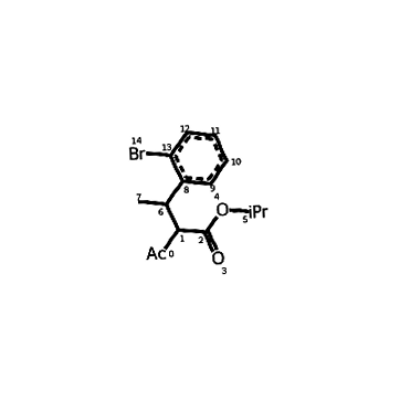 CC(=O)C(C(=O)OC(C)C)C(C)c1ccccc1Br